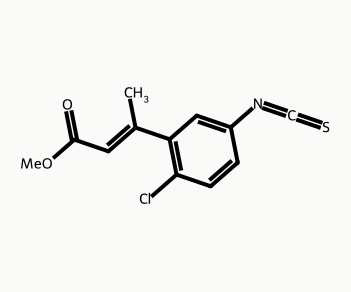 COC(=O)C=C(C)c1cc(N=C=S)ccc1Cl